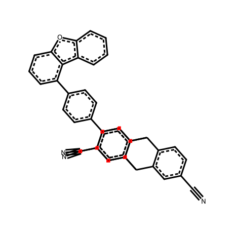 N#Cc1ccc2c(c1)C1c3cc(C#N)ccc3C2c2cc(-c3ccc(-c4cccc5oc6ccccc6c45)cc3)c(C#N)cc21